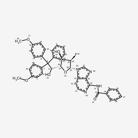 COc1ccc(C(c2ccccc2)(c2ccc(OC)cc2)C(O)[C@H]2O[C@@H](n3cnc4c(NC(=O)c5ccccc5)ncnc43)[C@H](F)[C@@H]2O)cc1